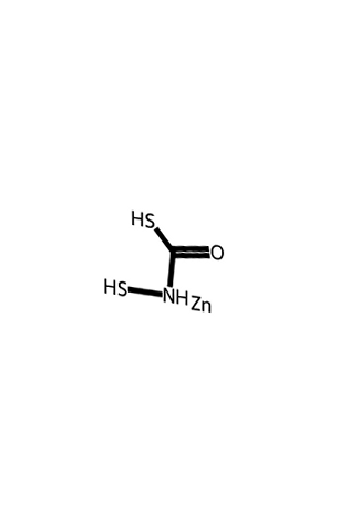 O=C(S)NS.[Zn]